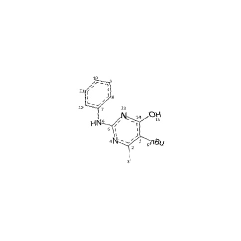 CCCCc1c(C)nc(Nc2ccccc2)nc1O